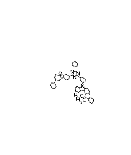 CC1(C)c2ccccc2-c2ccc3c(c21)c1ccccc1n3-c1cccc(-c2nc(-c3ccccc3)nc(-c3ccc4c(c3)oc3ccc(-c5ccccc5)cc34)n2)c1